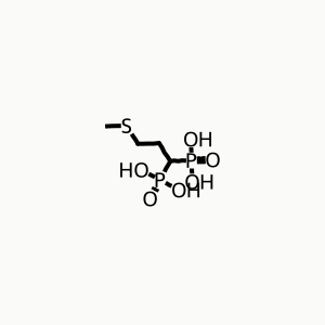 CSCCC(P(=O)(O)O)P(=O)(O)O